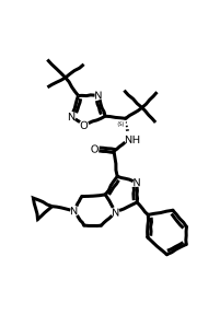 CC(C)(C)c1noc([C@@H](NC(=O)c2nc(-c3ccccc3)n3c2CN(C2CC2)CC3)C(C)(C)C)n1